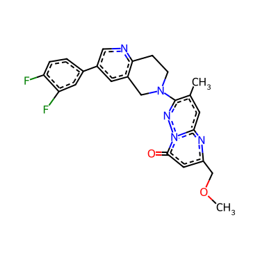 COCc1cc(=O)n2nc(N3CCc4ncc(-c5ccc(F)c(F)c5)cc4C3)c(C)cc2n1